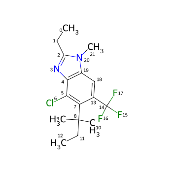 CCc1nc2c(Cl)c(C(C)(C)CC)c(C(F)(F)F)cc2n1C